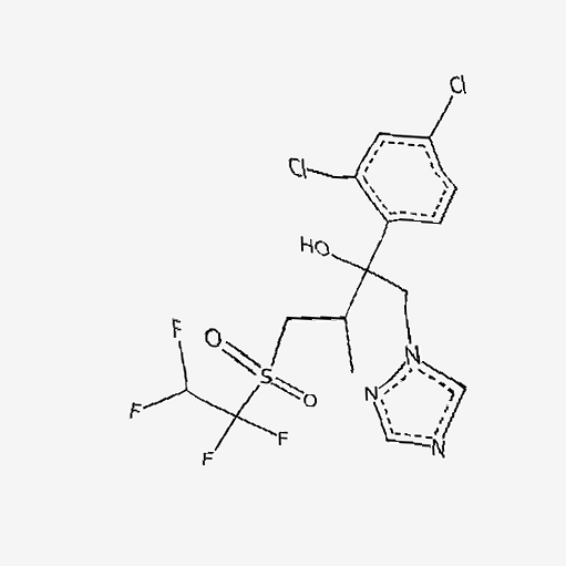 CC(CS(=O)(=O)C(F)(F)C(F)F)C(O)(Cn1cncn1)c1ccc(Cl)cc1Cl